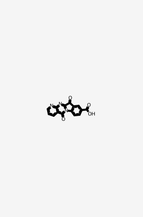 O=C(O)c1ccc2c(c1)C(=O)c1nc3ncccc3c(=O)n1-2